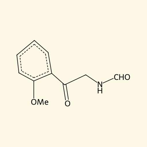 COc1ccccc1C(=O)CNC=O